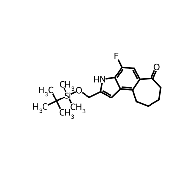 CC(C)(C)[Si](C)(C)OCc1cc2c3c(cc(F)c2[nH]1)C(=O)CCCC3